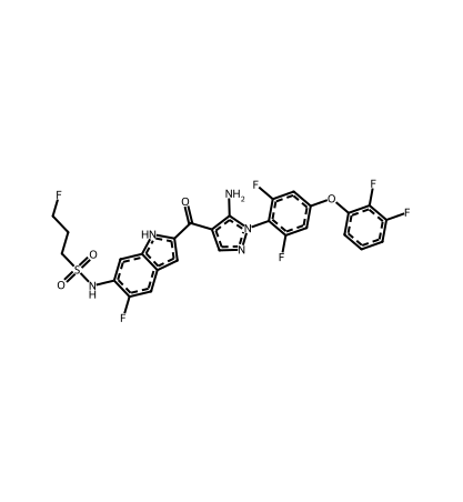 Nc1c(C(=O)c2cc3cc(F)c(NS(=O)(=O)CCCF)cc3[nH]2)cnn1-c1c(F)cc(Oc2cccc(F)c2F)cc1F